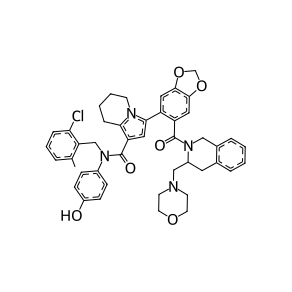 Cc1cccc(Cl)c1CN(C(=O)c1cc(-c2cc3c(cc2C(=O)N2Cc4ccccc4CC2CN2CCOCC2)OCO3)n2c1CCCC2)c1ccc(O)cc1